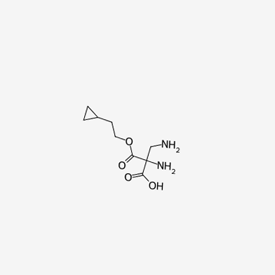 NCC(N)(C(=O)O)C(=O)OCCC1CC1